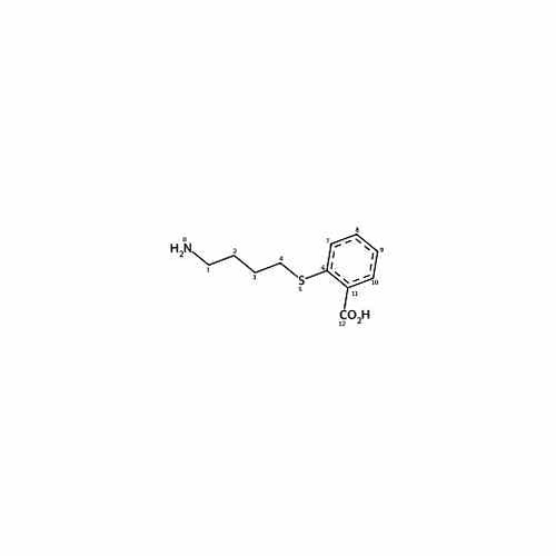 NCCCCSc1ccccc1C(=O)O